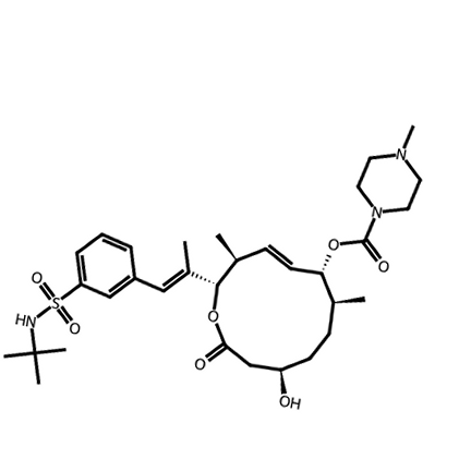 C/C(=C\c1cccc(S(=O)(=O)NC(C)(C)C)c1)[C@H]1OC(=O)C[C@H](O)CC[C@H](C)[C@@H](OC(=O)N2CCN(C)CC2)/C=C/[C@@H]1C